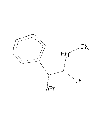 CCCC(c1ccccc1)C(CC)NC#N